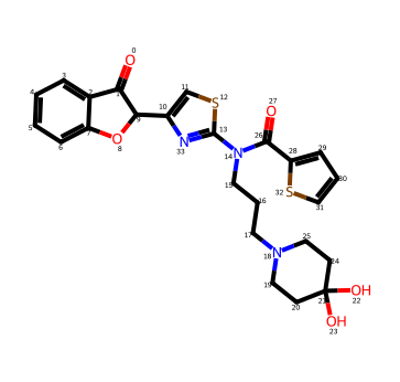 O=C1c2ccccc2OC1c1csc(N(CCCN2CCC(O)(O)CC2)C(=O)c2cccs2)n1